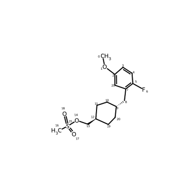 COc1ccc(F)c(C[C@H]2CC[C@H](COS(C)(=O)=O)CC2)c1